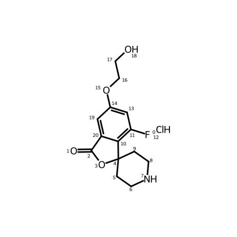 Cl.O=C1OC2(CCNCC2)c2c(F)cc(OCCO)cc21